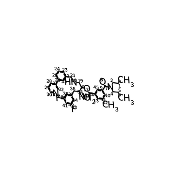 CCCN(CCC)C(=O)c1cc(C)cc(C(=O)OC(CNCc2cccc(-c3cccnc3)c2)C(N)Cc2cc(F)cc(F)c2)c1